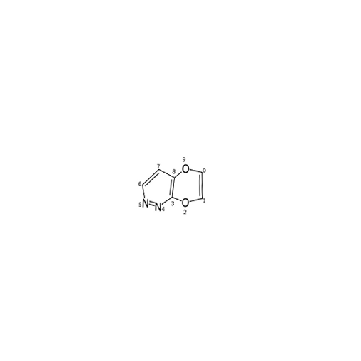 C1=COc2nnccc2O1